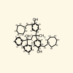 CC(CCC(O)(c1ccccc1)c1ccccc1)(c1ccc(O)c(CN2CCCCCC2)c1)c1ccc(O)c(CN2CCCCCC2)c1